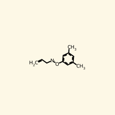 C=CC[N]Oc1cc(C)cc(C)c1